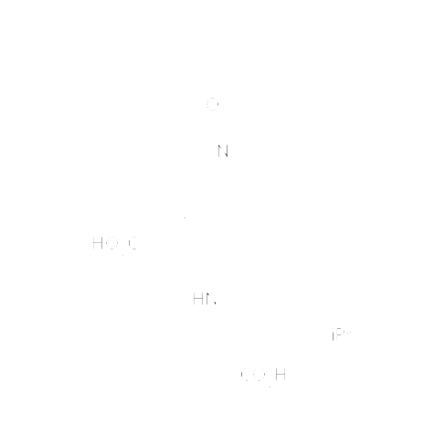 Cc1cc(C(CNC(CC(C)C)C(=O)O)C(=O)O)no1